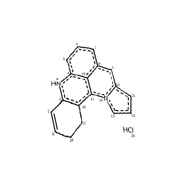 C1=Cc2[nH]c3cccc4cc5cccn5c(c2CC1)c43.Cl